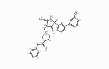 CC1(c2cccc(-c3cccc(Cl)c3)c2)NC(=N)N(C[C@H]2CCN(C(=O)Cc3ccccc3)C2)C1=O